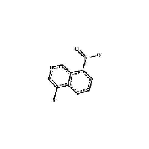 O=[N+]([O-])c1cccc2c(Br)cncc12